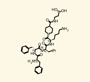 CC(C)C[C@@H](NC(=O)[C@@H](Cc1ccccc1)NC(=O)[C@H](N)Cc1ccccc1)C(=O)N[C@H](CCCCN)C(=O)N1CCC(C(=O)NCCB(O)O)CC1